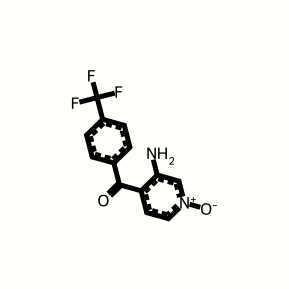 Nc1c[n+]([O-])ccc1C(=O)c1ccc(C(F)(F)F)cc1